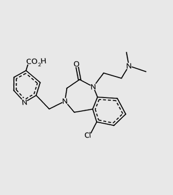 CN(C)CCN1C(=O)CN(Cc2cc(C(=O)O)ccn2)Cc2c(Cl)cccc21